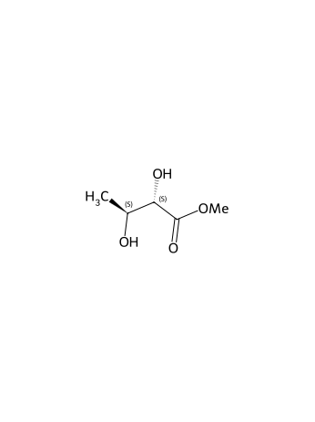 COC(=O)[C@@H](O)[C@H](C)O